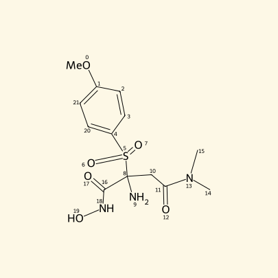 COc1ccc(S(=O)(=O)C(N)(CC(=O)N(C)C)C(=O)NO)cc1